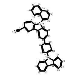 N#Cc1ccc2c(c1)c1cc(-c3ccc(-n4c5ccccc5c5ccccc54)cc3)ccc1n2-c1cccc2ccccc12